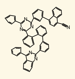 N#Cc1ccc(-c2cccc(-c3nc(-c4ccccc4)nc(-c4ccccc4-c4ccccc4-c4cccc(-c5nc(-c6ccccc6)c6ccccc6n5)c4)n3)c2)c2ccccc12